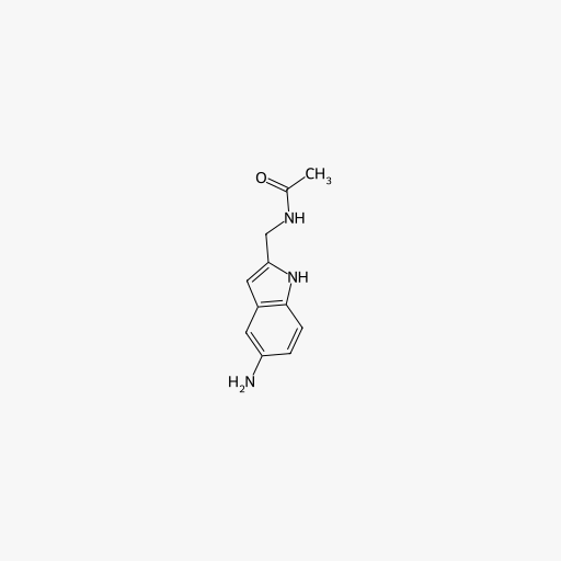 CC(=O)NCc1cc2cc(N)ccc2[nH]1